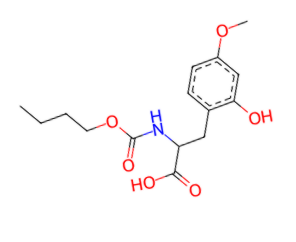 CCCCOC(=O)NC(Cc1ccc(OC)cc1O)C(=O)O